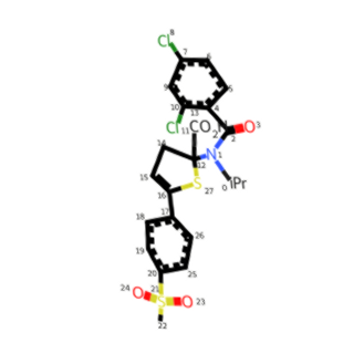 CC(C)N(C(=O)c1ccc(Cl)cc1Cl)C1(C(=O)O)CC=C(c2ccc(S(C)(=O)=O)cc2)S1